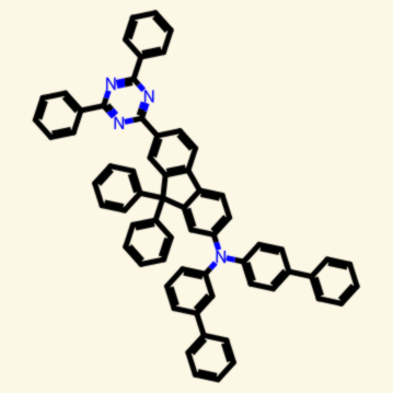 c1ccc(-c2ccc(N(c3cccc(-c4ccccc4)c3)c3ccc4c(c3)C(c3ccccc3)(c3ccccc3)c3cc(-c5nc(-c6ccccc6)nc(-c6ccccc6)n5)ccc3-4)cc2)cc1